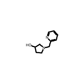 OC1CCN(Cc2ccccn2)C1